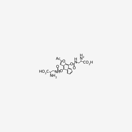 CC(=O)c1cc2c(OC(=O)NCC(N)C(=O)O)c3ccccc3c(OC(=O)NCC(N)C(=O)O)c2o1